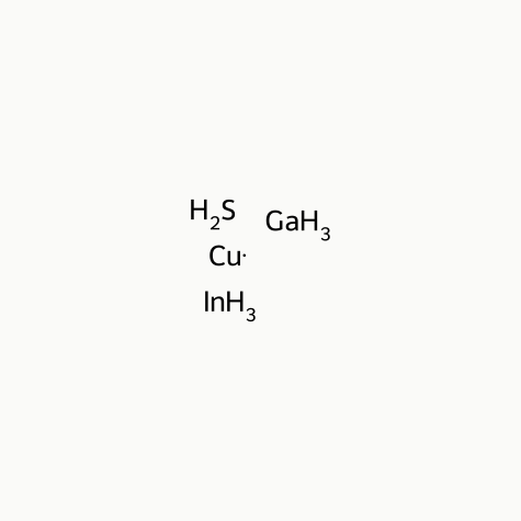 S.[Cu].[GaH3].[InH3]